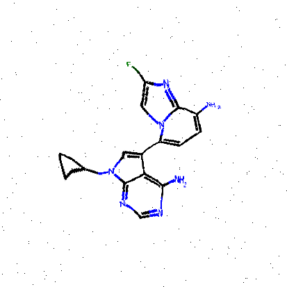 Nc1ncnc2c1c(-c1ccc(N)c3nc(F)cn13)cn2C1CC1